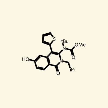 COC(=O)N(c1c(-c2cccs2)c2cc(O)ccc2c(=O)n1CC(C)C)C(C)(C)C